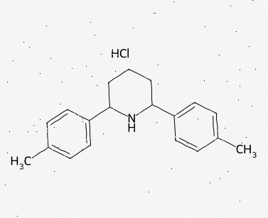 Cc1ccc(C2CCCC(c3ccc(C)cc3)N2)cc1.Cl